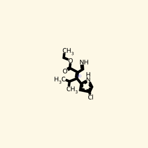 CCOC(=O)/C(C=N)=C(/c1cc(Cl)c[nH]1)C(C)C